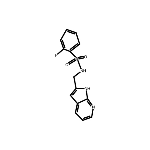 O=S(=O)(NCc1cc2cccnc2[nH]1)c1ccccc1F